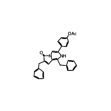 CC(=O)Oc1ccc(-c2cn3c(=O)c(Cc4ccccc4)cc-3c(Cc3ccccc3)[nH]2)cc1